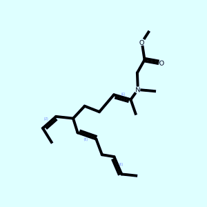 C/C=C\C(/C=C/C/C=C/C)CC/C=C(\C)N(C)CC(=O)OC